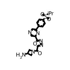 CC(C)S(=O)(=O)c1ccc(-c2cncc(-c3nnc(C(=O)N4CC(N)C4)o3)n2)cc1